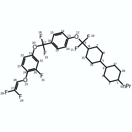 CCCC1CCC(C2CCC(C(F)(F)Oc3ccc(C(F)(F)Oc4ccc(OC=C(F)F)c(F)c4)cc3)CC2)CC1